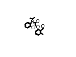 Cc1cccc(OCC(=O)N(c2ccccc2Cl)C(C)C)c1C=O